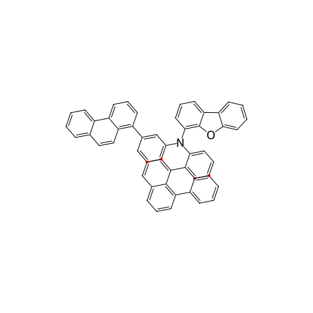 c1ccc(-c2cccc3cccc(-c4ccccc4N(c4cccc(-c5cccc6c5ccc5ccccc56)c4)c4cccc5c4oc4ccccc45)c23)cc1